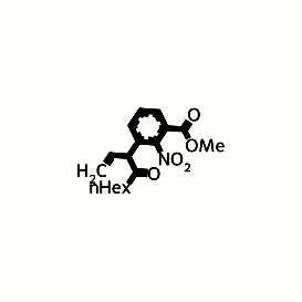 C=CC(C(=O)CCCCCC)c1cccc(C(=O)OC)c1[N+](=O)[O-]